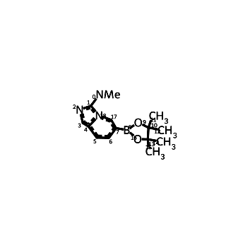 CNc1ncc2ccc(B3OC(C)(C)C(C)(C)O3)cn12